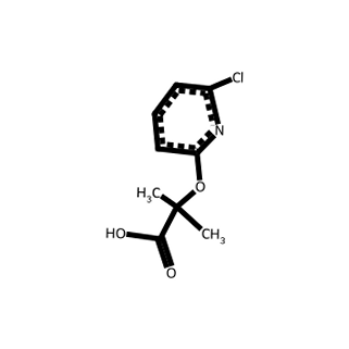 CC(C)(Oc1cccc(Cl)n1)C(=O)O